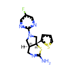 NC1=NC[C@H]2CN(c3ncc(F)cn3)C[C@]2(c2cccs2)S1